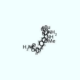 CCCCOc1nc(N)c2[nH]nc(Cc3ccc(CN4CC[C@H](OC(N)=O)C4)cc3OC)c2n1